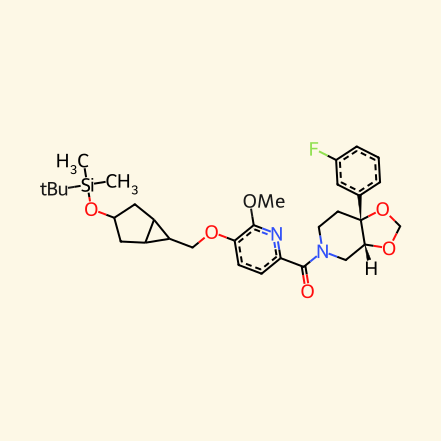 COc1nc(C(=O)N2CC[C@]3(c4cccc(F)c4)OCO[C@@H]3C2)ccc1OCC1C2CC(O[Si](C)(C)C(C)(C)C)CC12